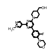 Cn1cc(-c2nc(-c3ccc(N4CCOCC4)c(F)c3)cc(N3CCC(CO)CC3)n2)cn1